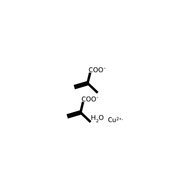 C=C(C)C(=O)[O-].C=C(C)C(=O)[O-].O.[Cu+2]